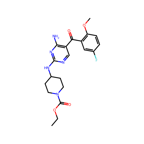 CCOC(=O)N1CCC(Nc2ncc(C(=O)c3cc(F)ccc3OC)c(N)n2)CC1